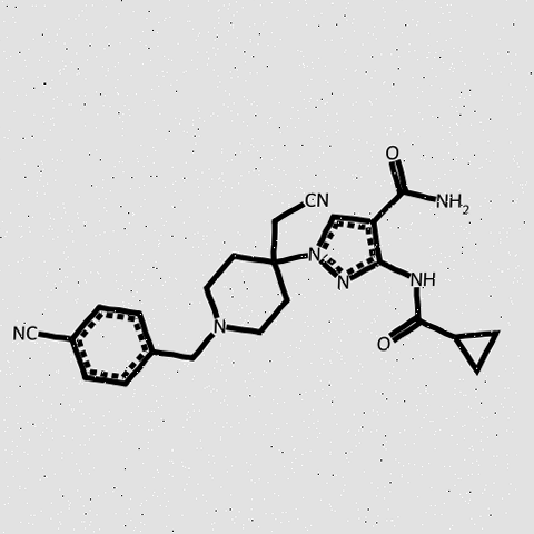 N#CCC1(n2cc(C(N)=O)c(NC(=O)C3CC3)n2)CCN(Cc2ccc(C#N)cc2)CC1